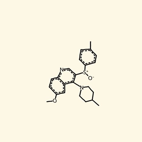 COc1ccc2ncc([S+]([O-])c3ccc(C)cc3)c(N3CCC(C)CC3)c2c1